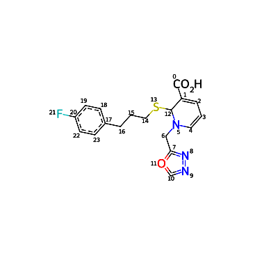 O=C(O)C1=CC=CN(Cc2nnco2)C1SCCCc1ccc(F)cc1